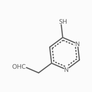 O=CCc1cc(S)ncn1